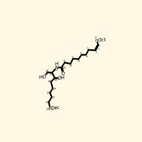 CCCCCCCC/C=C\CCCCCCCC(=O)NC(CO)C(O)CCCCCCCCCCCCCCC